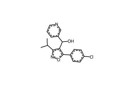 CC(C)c1noc(-c2ccc(Cl)cc2)c1C(O)c1cccnc1